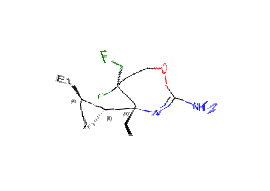 CC[C@@H]1C[C@H]1[C@@]1(C)N=C(N)OCC1(F)F